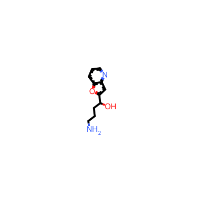 NCCCC(O)c1cc2ncccc2o1